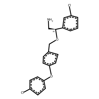 NC[C@H](OCc1ccc(Oc2ccc(Cl)cc2)cc1)c1cccc(Cl)c1